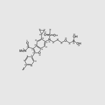 CNC(=O)c1c(-c2ccc(F)cc2)oc2cc(N(CCCOCB(O)O)S(C)(=O)=O)c(C3CC3)cc12